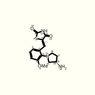 COc1cccc(/C=C2\SC(=O)NC2=O)c1N1CC[C@H](N)C1